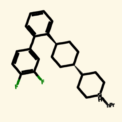 CCC[SiH]1CCC([C@H]2CC[C@H](c3ccccc3-c3ccc(F)c(F)c3)CC2)CC1